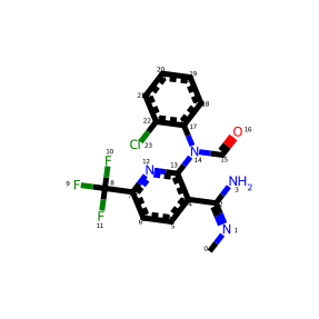 C/N=C(/N)c1ccc(C(F)(F)F)nc1N(C=O)c1ccccc1Cl